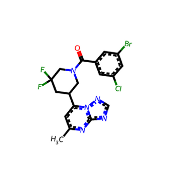 Cc1cc(C2CN(C(=O)c3cc(Cl)cc(Br)c3)CC(F)(F)C2)n2ncnc2n1